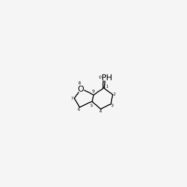 P=C1CCCC2CCOC12